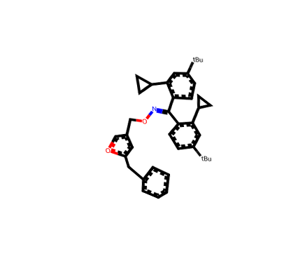 CC(C)(C)c1ccc(C(=NOCc2coc(Cc3ccccc3)c2)c2ccc(C(C)(C)C)cc2C2CC2)c(C2CC2)c1